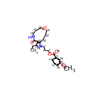 CCc1nn(CCCOC(=O)c2cccc(OC)c2)c2c1C(=O)NCCCOCCC2